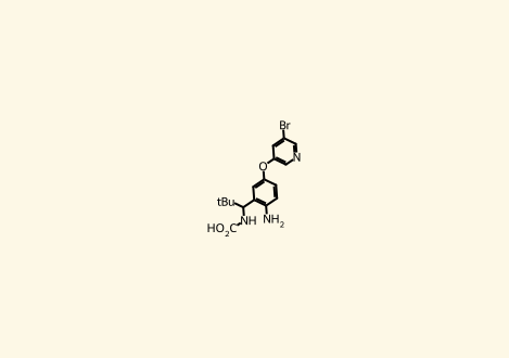 CC(C)(C)C(NC(=O)O)c1cc(Oc2cncc(Br)c2)ccc1N